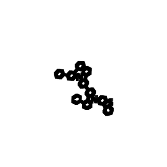 C1=CCC(c2cccc3c2c2cc(-c4ccc5c(c4)c4ccccc4n5-c4ccc(-c5ccccc5)cc4-c4ccccc4)ccc2n3-c2ccc3sc4ccccc4c3c2)C=C1